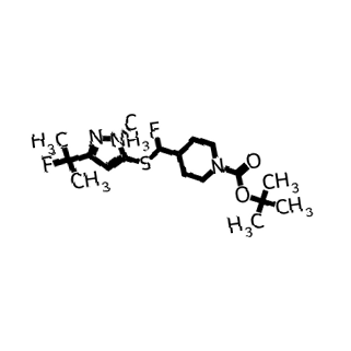 Cn1nc(C(C)(C)F)cc1SC(F)C1CCN(C(=O)OC(C)(C)C)CC1